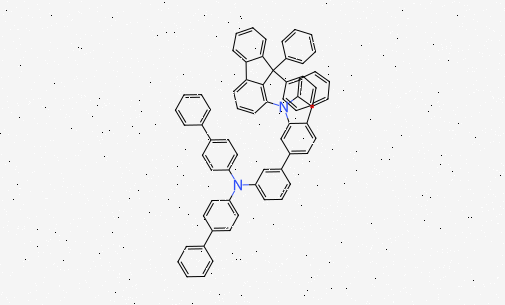 c1ccc(-c2ccc(N(c3ccc(-c4ccccc4)cc3)c3cccc(-c4ccc5c6ccccc6n(-c6cccc7c6C(c6ccccc6)(c6ccccc6)c6ccccc6-7)c5c4)c3)cc2)cc1